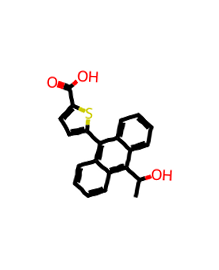 CC(O)c1c2ccccc2c(-c2ccc(C(=O)O)s2)c2ccccc12